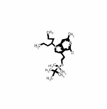 CCCC(CCC)n1cc(CCO[Si](C)(C)C(C)(C)C)c2c(Cl)nc(C)cc21